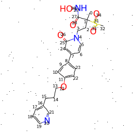 CC(CCn1ccc(-c2ccc(OCCCc3cccnc3)cc2)cc1=O)(C(=O)NO)S(C)(=O)=O